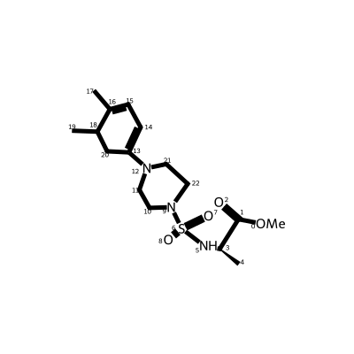 COC(=O)[C@@H](C)NS(=O)(=O)N1CCN(C2=CC=C(C)C(C)C2)CC1